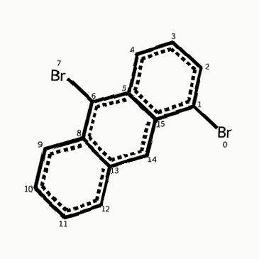 Brc1cccc2c(Br)c3ccccc3cc12